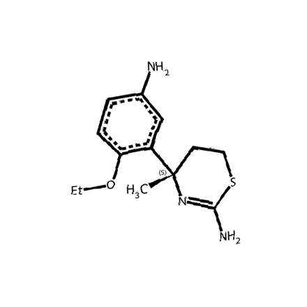 CCOc1ccc(N)cc1[C@]1(C)CCSC(N)=N1